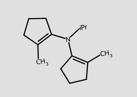 CC1=C(N(C2=C(C)CCC2)C(C)C)CCC1